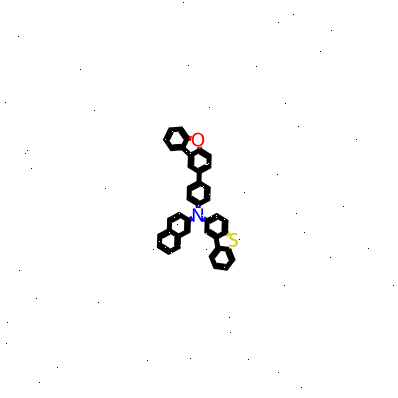 c1ccc2cc(N(c3ccc(-c4ccc5oc6ccccc6c5c4)cc3)c3ccc4sc5ccccc5c4c3)ccc2c1